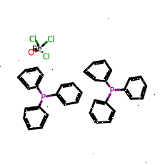 [O]=[Re]([Cl])([Cl])[Cl].c1ccc(P(c2ccccc2)c2ccccc2)cc1.c1ccc(P(c2ccccc2)c2ccccc2)cc1